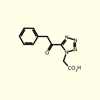 O=C(O)Cn1nnnc1C(=O)Cc1ccccc1